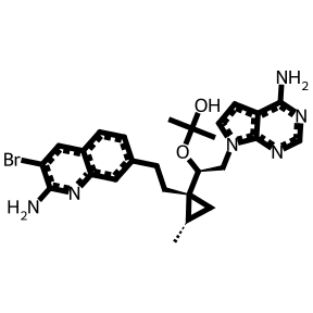 C[C@H]1C[C@@]1(CCc1ccc2cc(Br)c(N)nc2c1)[C@H](Cn1ccc2c(N)ncnc21)OC(C)(C)O